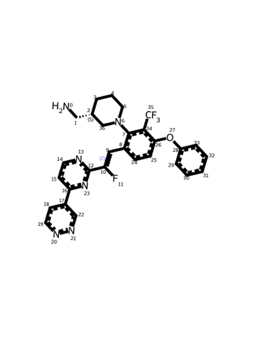 NC[C@@H]1CCCN(c2c(/C=C(\F)c3nccc(-c4ccnnc4)n3)ccc(Oc3ccccc3)c2C(F)(F)F)C1